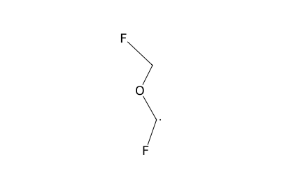 F[CH]OCF